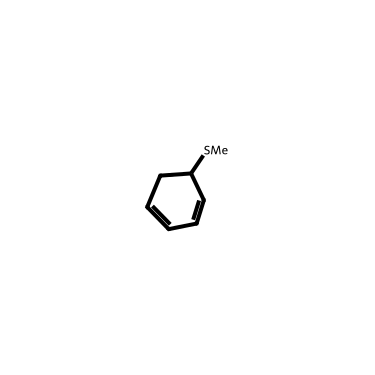 CSC1C=CC=CC1